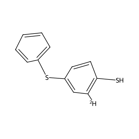 [2H]c1cc(Sc2ccccc2)ccc1S